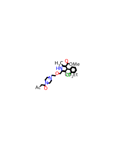 CCOC(=O)C1=C(COCCN2CCN(C(=O)CC(C)=O)CC2)NC(C)=C(C(=O)OC)C1c1ccccc1Cl